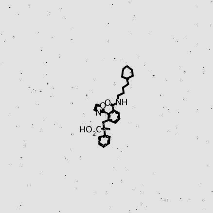 CC(Cc1cccc(C(=O)NCCCCC2CCCCC2)c1-c1ncco1)(C(=O)O)c1ccccc1